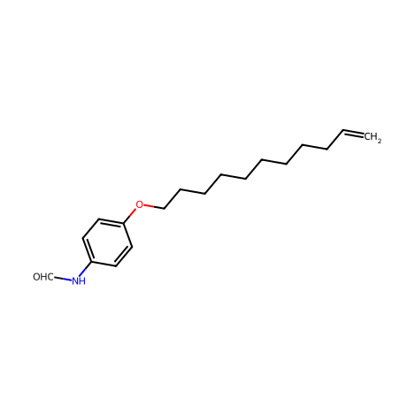 C=CCCCCCCCCCOc1ccc(NC=O)cc1